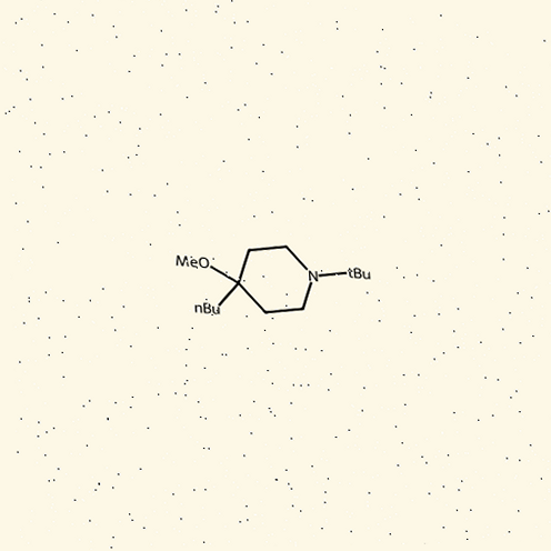 CCCCC1(OC)CCN(C(C)(C)C)CC1